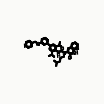 CC(C)CCCN(C(=O)Nc1c(C(C)C)cc(-c2cccc(OCc3ccncc3)c2)cc1C(C)C)c1cc2cccnc2[nH]c1=O